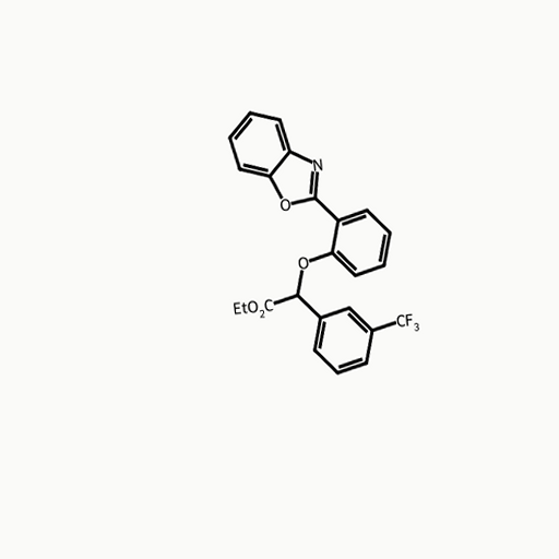 CCOC(=O)C(Oc1ccccc1-c1nc2ccccc2o1)c1cccc(C(F)(F)F)c1